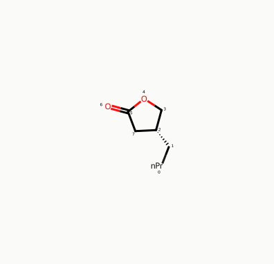 CCCC[C@H]1COC(=O)C1